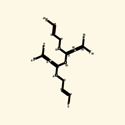 FC=CCOC(=C=C(F)F)OC(=C=C(F)F)OCC=CF